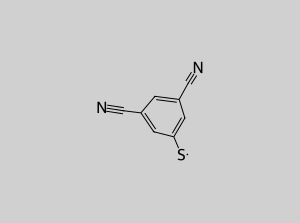 N#Cc1cc([S])cc(C#N)c1